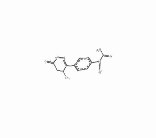 CC(=O)N(C(=N)N)c1ccc(C2=NNC(=O)CC2C)cc1